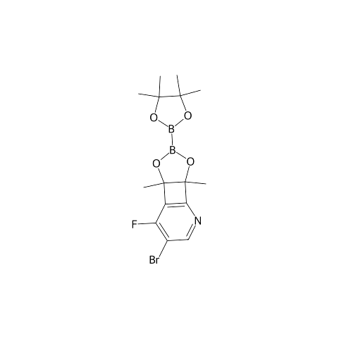 CC1(C)OB(B2OC3(C)c4ncc(Br)c(F)c4C3(C)O2)OC1(C)C